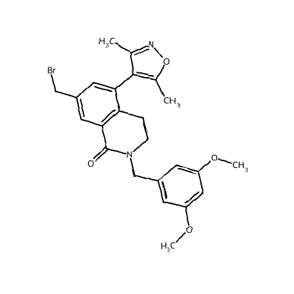 COc1cc(CN2CCc3c(cc(CBr)cc3-c3c(C)noc3C)C2=O)cc(OC)c1